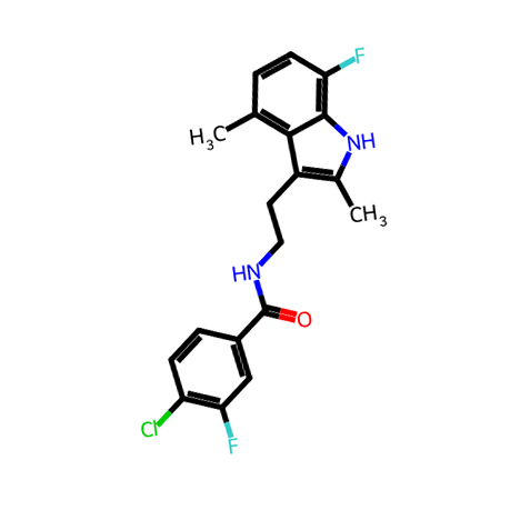 Cc1[nH]c2c(F)ccc(C)c2c1CCNC(=O)c1ccc(Cl)c(F)c1